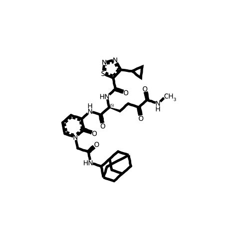 CNC(=O)C(=O)CC[C@H](NC(=O)c1snnc1C1CC1)C(=O)Nc1cccn(CC(=O)NC2C3CC4CC(C3)CC2C4)c1=O